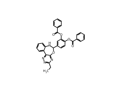 CCc1nnc2c(n1)OC(c1ccc(OC(=O)c3ccccc3)c(OC(=O)c3ccccc3)c1)Nc1ccccc1-2